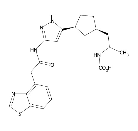 CC(C[C@@H]1CC[C@H](c2cc(NC(=O)Cc3cccc4scnc34)n[nH]2)C1)NC(=O)O